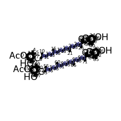 CC(=O)O[C@H]1CC(C)(C)C(=C=C/C(C)=C/C=C/C(C)=C/C=C/C=C(C)/C=C/C=C(\C)C(=O)C[C@@]23O[C@]2(C)C[C@@H](O)CC3(C)C)[C@](C)(O)C1.CC(=O)O[C@H]1CC(C)(C)C(=C=C/C(C)=C/C=C/C(C)=C/C=C/C=C(C)/C=C/C=C(\C)C(=O)C[C@@]23O[C@]2(C)C[C@@H](O)CC3(C)C)[C@](C)(O)C1